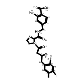 NC(CC(=O)N1CCSC1C(=O)NCc1ccc(C(=O)O)c(O)c1)Cc1cc(F)c(F)cc1F